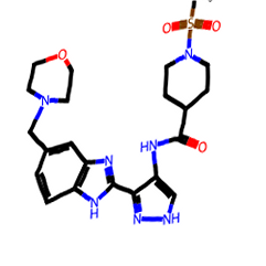 CS(=O)(=O)N1CCC(C(=O)Nc2c[nH]nc2-c2nc3cc(CN4CCOCC4)ccc3[nH]2)CC1